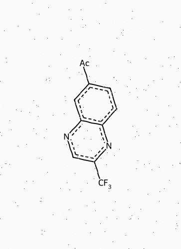 CC(=O)c1ccc2nc(C(F)(F)F)cnc2c1